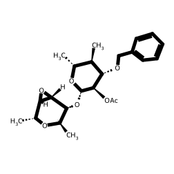 CC(=O)O[C@H]1[C@H](O[C@H]2[C@H]3O[C@H]3[C@@H](C)O[C@@H]2C)O[C@H](C)[C@@H](C)[C@@H]1OCc1ccccc1